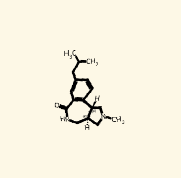 CC(C)Cc1ccc2c(c1)C(=O)NC[C@@H]1CN(C)C[C@@H]21